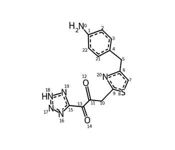 Nc1ccc(Cc2csc(CC(=O)C(=O)c3nn[nH]n3)n2)cc1